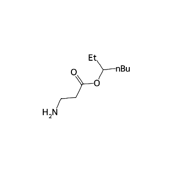 CCCCC(CC)OC(=O)CCN